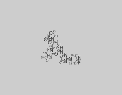 Cc1cc(NC(=O)c2ccc(N3CCOCS3(=O)=O)cc2N2CCC3(CC2)CC3)nc(N2CCC(F)(F)CC2)n1